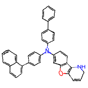 C1=Cc2oc3cc(N(c4ccc(-c5ccccc5)cc4)c4ccc(-c5cccc6ccccc56)cc4)ccc3c2NC1